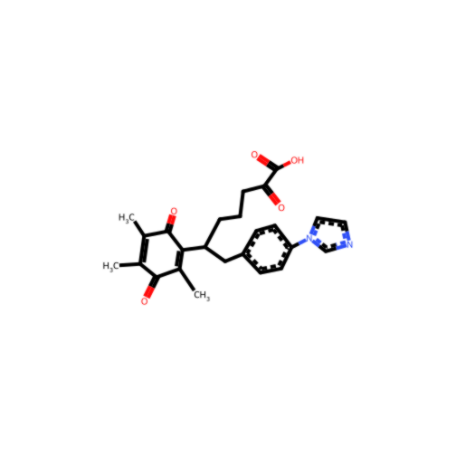 CC1=C(C)C(=O)C(C(CCCC(=O)C(=O)O)Cc2ccc(-n3ccnc3)cc2)=C(C)C1=O